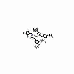 COc1ccc(C(=O)N(C/C(C)=C/c2ccc(F)cc2F)C[C@@H]2CCCN2CC2CCC(N)CC2)cc1OC.Cl.Cl